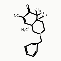 CC1(C)C(=O)C(C#N)=C[C@]2(C)CN(Cc3ccccc3)CC[C@@H]12